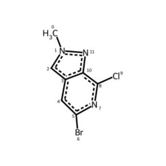 Cn1cc2cc(Br)nc(Cl)c2n1